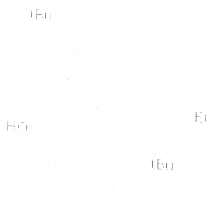 CCC(CC(CC(C)C(C)(C)C)c1ccccc1O)C(C)(C)C